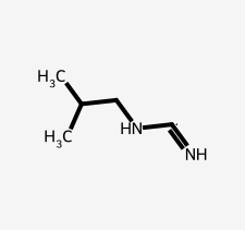 CC(C)CN[C]=N